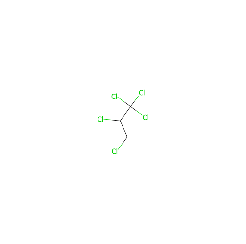 ClCC(Cl)C(Cl)(Cl)Cl